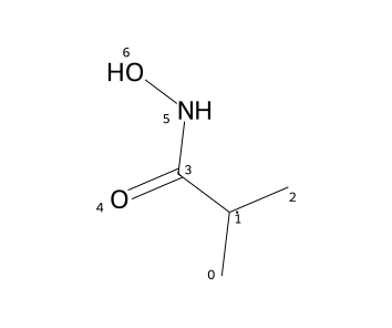 C[C](C)C(=O)NO